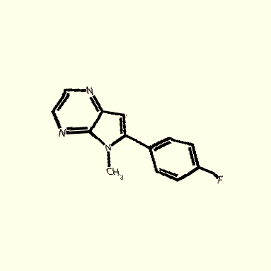 Cn1c(-c2ccc(F)cc2)[c]c2nccnc21